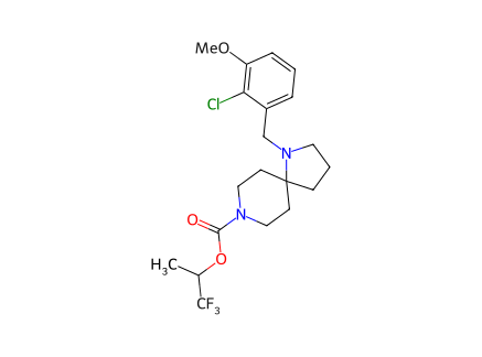 COc1cccc(CN2CCCC23CCN(C(=O)OC(C)C(F)(F)F)CC3)c1Cl